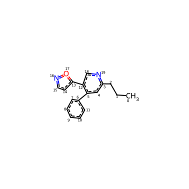 CCCc1cc(-c2ccccc2)c(-c2ccno2)[c]n1